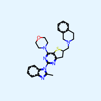 Cc1nc2ccccc2n1-c1nc2c(c(N3CCOCC3)n1)SC(CN1CCc3ccccc3C1)C2